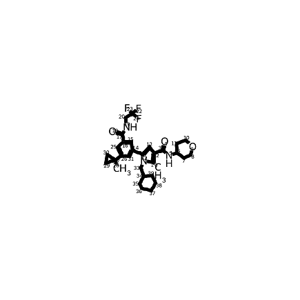 Cc1c(C(=O)NC2CCOCC2)cc(-c2cc(C(=O)NCC(F)(F)F)cc(C3(C)CC3)c2)n1CC1CCCCC1